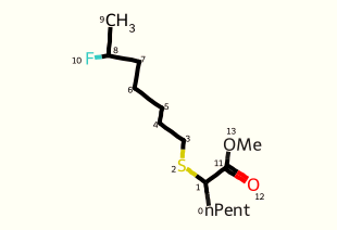 CCCCCC(SCCCCCC(C)F)C(=O)OC